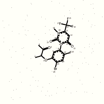 CC(=O)C(C)Oc1cc(-n2c(=O)cc(C(F)(F)F)n(C)c2=O)c(F)cc1Br